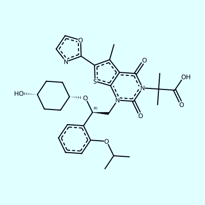 Cc1c(-c2ncco2)sc2c1c(=O)n(C(C)(C)C(=O)O)c(=O)n2C[C@H](O[C@H]1CC[C@@H](O)CC1)c1ccccc1OC(C)C